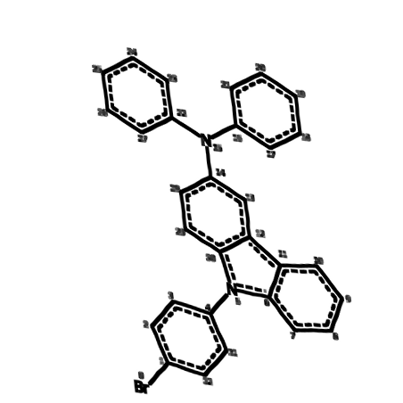 Brc1ccc(-n2c3ccccc3c3cc(N(c4ccccc4)c4ccccc4)ccc32)cc1